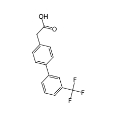 O=C(O)Cc1ccc(-c2cccc(C(F)(F)F)c2)cc1